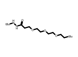 CC(C)(C)CCOCCOCCOCCC(=O)NNC(C)(C)C